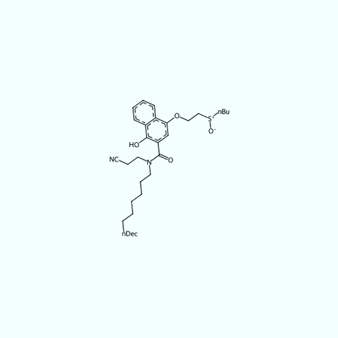 CCCCCCCCCCCCCCCCN(CCC#N)C(=O)c1cc(OCC[S+]([O-])CCCC)c2ccccc2c1O